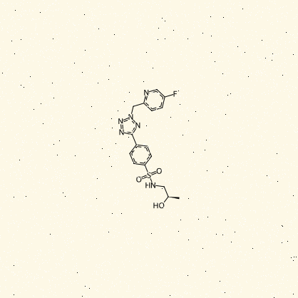 C[C@@H](O)CNS(=O)(=O)c1ccc(-c2nnn(Cc3ccc(F)cn3)n2)cc1